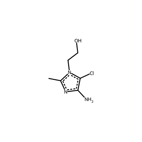 Cc1nc(N)c(Cl)n1CCO